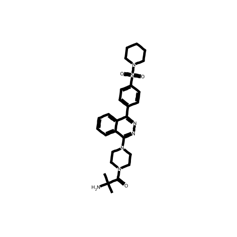 CC(C)(N)C(=O)N1CCN(c2nnc(-c3ccc(S(=O)(=O)N4CCCCC4)cc3)c3ccccc23)CC1